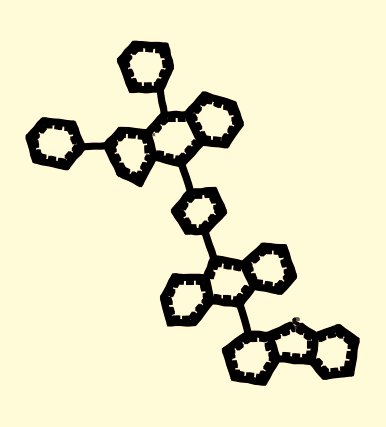 c1ccc(-c2ccc3c(-c4ccc(-c5c6ccccc6c(-c6cccc7c6sc6ccccc67)c6ccccc56)cc4)c4ccccc4c(-c4ccccc4)c3c2)cc1